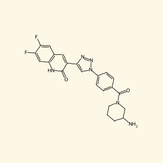 NC1CCCN(C(=O)c2ccc(-n3cc(-c4cc5cc(F)c(F)cc5[nH]c4=O)nn3)cc2)C1